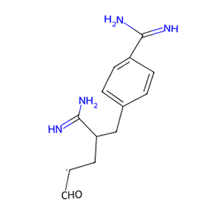 N=C(N)c1ccc(CC(C[CH]C=O)C(=N)N)cc1